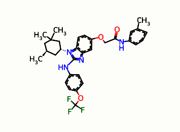 Cc1cccc(NC(=O)COc2ccc3c(c2)nc(Nc2ccc(OC(F)(F)F)cc2)n3[C@@H]2C[C@@H](C)CC(C)(C)C2)c1